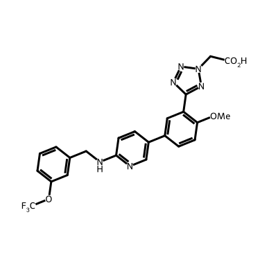 COc1ccc(-c2ccc(NCc3cccc(OC(F)(F)F)c3)nc2)cc1-c1nnn(CC(=O)O)n1